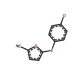 N#Cc1ccc(Sc2ccc(Cl)cc2)s1